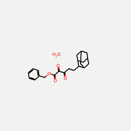 O.O=C(CCC1C2CC3CC(C2)CC1C3)C(=O)C(=O)OCc1ccccc1